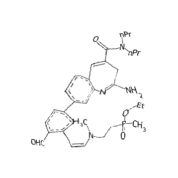 CCCN(CCC)C(=O)C1=Cc2ccc(-c3ccc(C=O)c(/C=C\N(C)CCP(C)(=O)OCC)c3)cc2N=C(N)C1